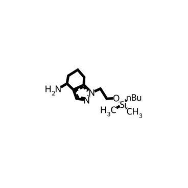 CCCC[Si](C)(C)OCCn1ncc2c1CCCC2N